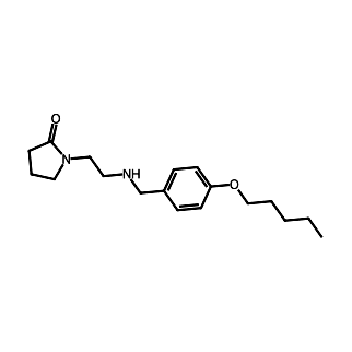 CCCCCOc1ccc(CNCCN2CCCC2=O)cc1